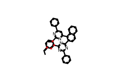 C=C/C(=C\C=C/C)c1nc(-c2ccccc2)nc(-c2ccc3ccccc3c2-c2cc(-c3ccccc3)nc(-c3ccccc3)n2)n1